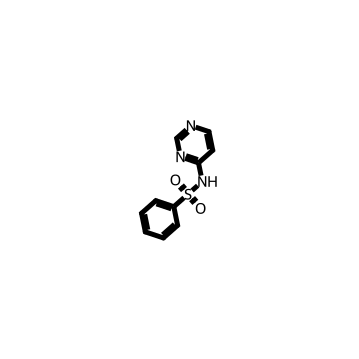 O=S(=O)(Nc1ccncn1)c1ccccc1